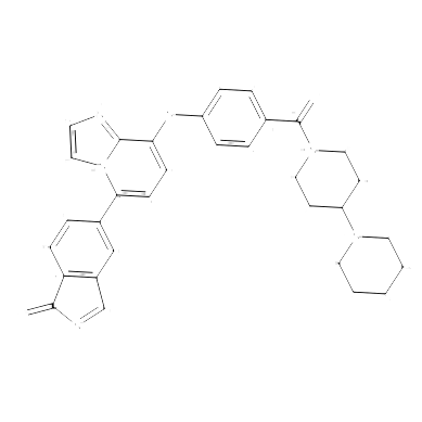 O=C1N=Cc2cc(-c3ccc(Nc4ccc(C(=O)N5CCC(N6CCCCC6)CC5)cc4)c4nccn34)ccc21